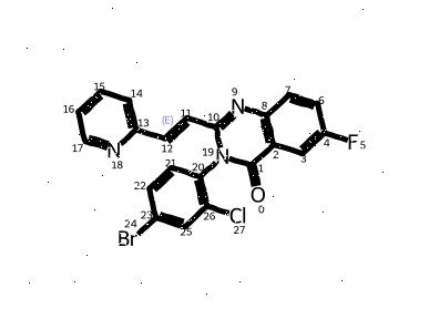 O=c1c2cc(F)ccc2nc(/C=C/c2ccccn2)n1-c1ccc(Br)cc1Cl